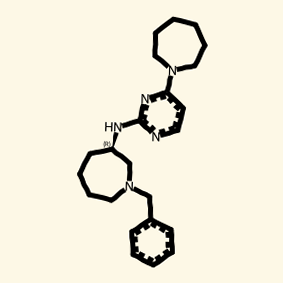 c1ccc(CN2CCCC[C@@H](Nc3nccc(N4CCCCCC4)n3)C2)cc1